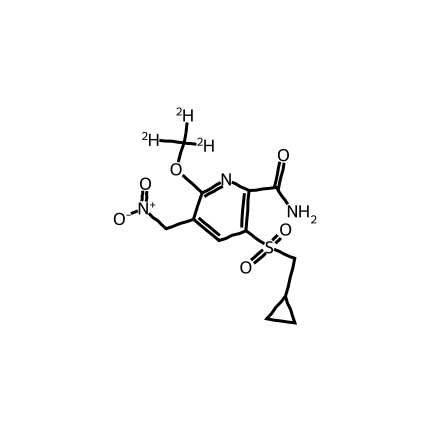 [2H]C([2H])([2H])Oc1nc(C(N)=O)c(S(=O)(=O)CC2CC2)cc1C[N+](=O)[O-]